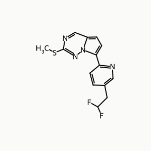 CSc1ncc2ccc(-c3ccc(CC(F)F)cn3)n2n1